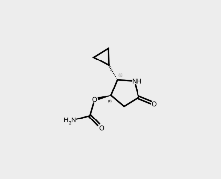 NC(=O)O[C@@H]1CC(=O)N[C@H]1C1CC1